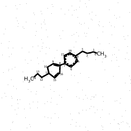 CCCCc1ccc(C2=CCC(CCC)C=C2)cc1